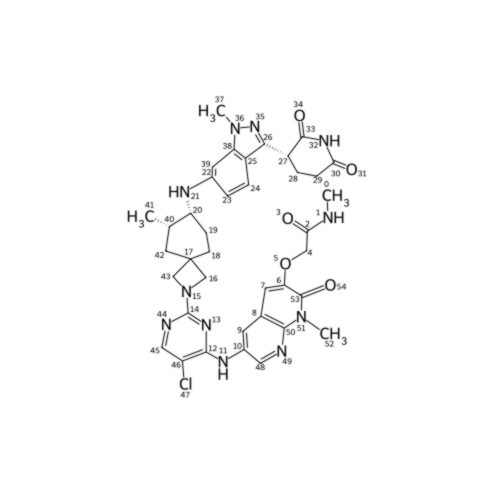 CNC(=O)COc1cc2cc(Nc3nc(N4CC5(CC[C@@H](Nc6ccc7c([C@H]8CCC(=O)NC8=O)nn(C)c7c6)[C@@H](C)C5)C4)ncc3Cl)cnc2n(C)c1=O